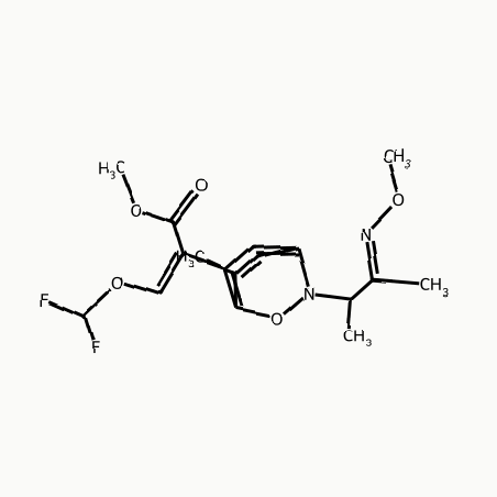 CON=C(C)C(C)N1Oc2c(C)cc1cc2C(=COC(F)F)C(=O)OC